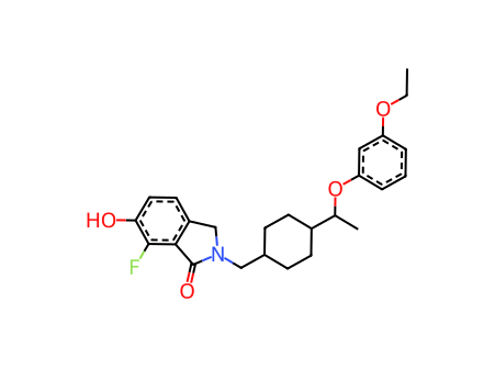 CCOc1cccc(OC(C)C2CCC(CN3Cc4ccc(O)c(F)c4C3=O)CC2)c1